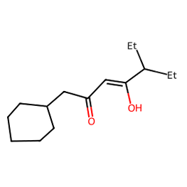 CCC(CC)/C(O)=C/C(=O)CC1CCCCC1